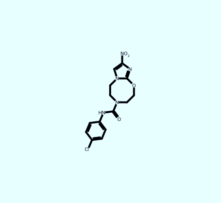 O=C(Nc1ccc(Cl)cc1)N1CCOc2nc([N+](=O)[O-])cn2CC1